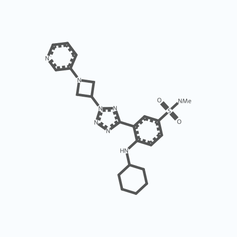 CNS(=O)(=O)c1ccc(NC2CCCCC2)c(-c2nnn(C3CN(c4cccnc4)C3)n2)c1